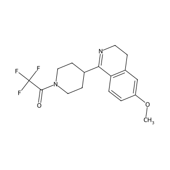 COc1ccc2c(c1)CCN=C2C1CCN(C(=O)C(F)(F)F)CC1